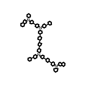 c1ccc(-c2ccc(N(c3ccc(-c4ccc(-c5ccc(-c6ccc(N(c7ccc(-c8ccccc8)cc7)c7ccc(-c8ccc(N(c9ccccc9)c9ccc%10ccccc%10c9)cc8)cc7)cc6)cc5)cc4)cc3)c3ccc(-c4ccc(-c5ccc(N(c6ccccc6)c6ccc7ccccc7c6)cc5)cc4)cc3)cc2)cc1